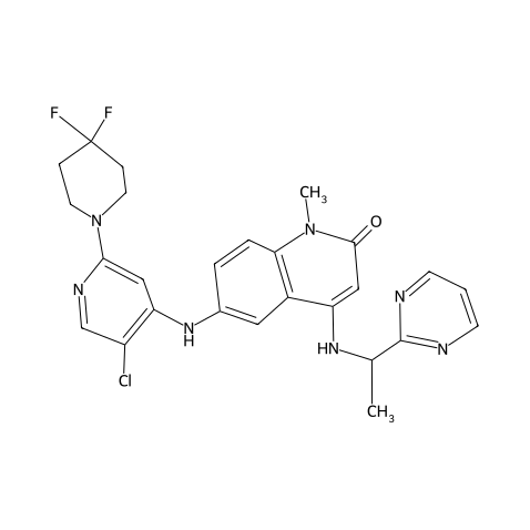 CC(Nc1cc(=O)n(C)c2ccc(Nc3cc(N4CCC(F)(F)CC4)ncc3Cl)cc12)c1ncccn1